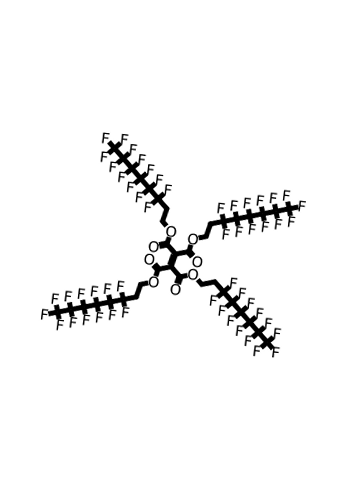 O=C(OCCC(F)(F)C(F)(F)C(F)(F)C(F)(F)C(F)(F)C(F)(F)F)C(C(=O)OCCC(F)(F)C(F)(F)C(F)(F)C(F)(F)C(F)(F)C(F)(F)F)=C(C(=O)OCCC(F)(F)C(F)(F)C(F)(F)C(F)(F)C(F)(F)C(F)(F)F)C(=O)OCCC(F)(F)C(F)(F)C(F)(F)C(F)(F)C(F)(F)C(F)(F)F